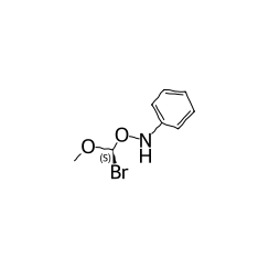 CO[C@H](Br)ONc1ccccc1